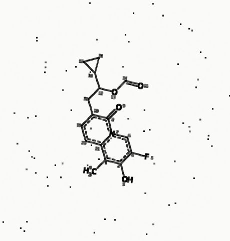 Cc1c(O)c(F)cn2c(=O)c(CC(OC=O)C3CC3)ccc12